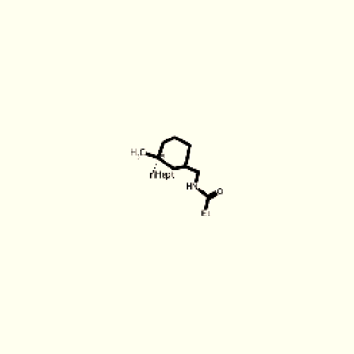 CCCCCCC[C@]1(C)CCCC(CNC(=O)CC)C1